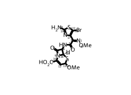 CO/N=C(\C(=O)NC1C(=O)N2C(C(=O)O)=CC(OC)S[C@H]12)c1nc(N)sc1Br